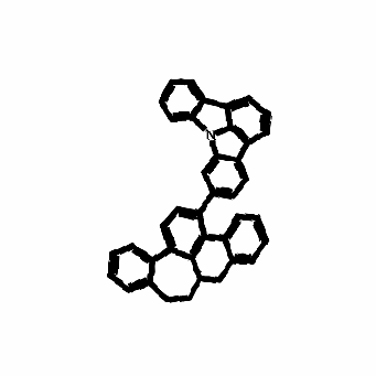 c1ccc2c(c1)CCC1Cc3ccccc3-c3c(-c4ccc5c6cccc7c8ccccc8n(c5c4)c76)ccc-2c31